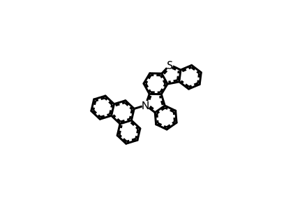 c1ccc2c(c1)cc(-n1c3ccccc3c3c4c(ccc31)sc1ccccc14)c1ccccc12